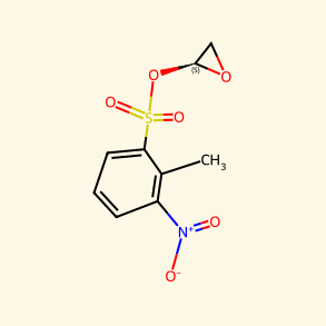 Cc1c([N+](=O)[O-])cccc1S(=O)(=O)O[C@H]1CO1